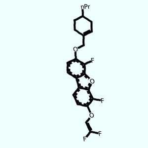 CCCC1CC=C(COc2ccc3c(oc4c(F)c(OC=C(F)F)ccc43)c2F)CC1